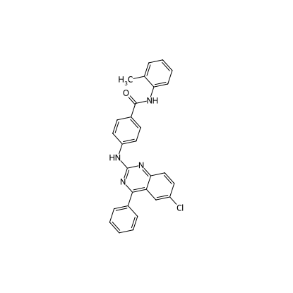 Cc1ccccc1NC(=O)c1ccc(Nc2nc(-c3ccccc3)c3cc(Cl)ccc3n2)cc1